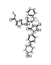 CCC(=O)c1csc(NC(=O)[C@H]([C@@H](C)c2ccccc2)N2C(=O)NC(c3ccc(N4CCC(O)CC4)cc3)C2=O)n1